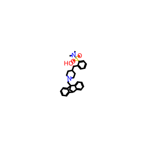 CN(C)S(=O)(=O)c1ccccc1C(O)C1CCN(CC23CC(c4ccccc42)c2ccccc23)CC1